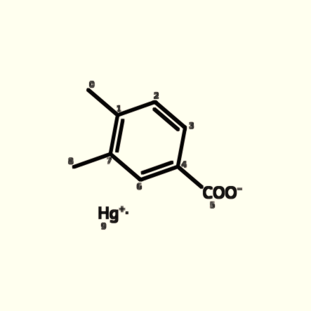 Cc1ccc(C(=O)[O-])cc1C.[Hg+]